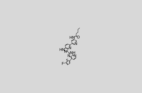 CCCCC(=O)Nc1cncc(-c2ccc3[nH]nc(-c4nc5c(-c6ccc(F)s6)ccnc5[nH]4)c3n2)c1